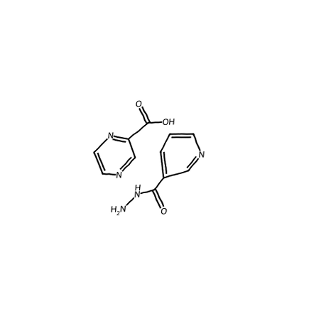 NNC(=O)c1cccnc1.O=C(O)c1cnccn1